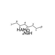 [CH2]CCCCCCC.[NaH].[O]=[AlH]